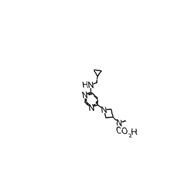 CN(C(=O)O)C1CN(c2cc(NCC3CC3)ncn2)C1